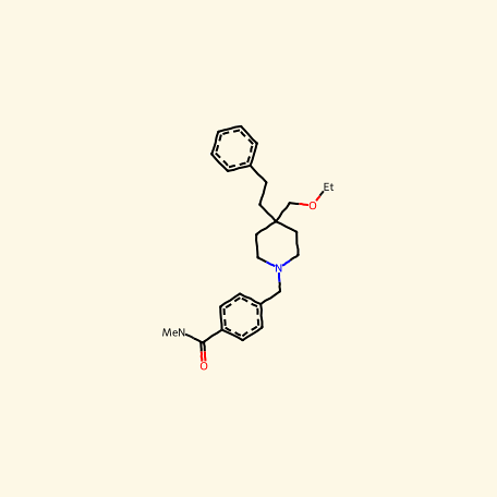 CCOCC1(CCc2ccccc2)CCN(Cc2ccc(C(=O)NC)cc2)CC1